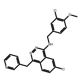 COc1ccc(CNc2nnc(Cc3cccnc3)c3ccc(Cl)cc23)cc1Cl